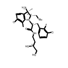 Cc1cc([C@@](C)(N)[C@H](CC(C)(C)C)N[C@H](Cc2cccc(Cl)c2F)C(=O)NCC[C@H](O)CO)ccc1Cl